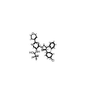 OC(Nc1cnc(C2=CCOCC2)nc1N1CC(c2ccccc2)C(c2ccc(Cl)cc2)=N1)C(F)(F)F